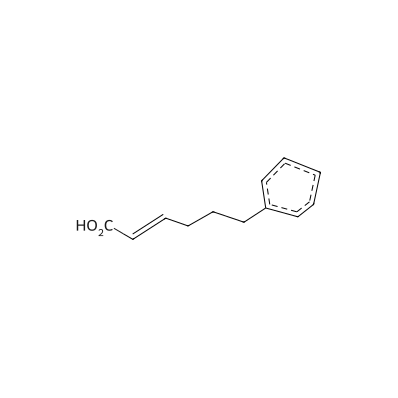 O=C(O)C=CCCCc1ccccc1